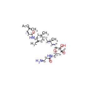 CC(=O)O[C@@H](C)/C=C\C(=O)N[C@@H]1C[C@H](C)[C@H](C/C=C(C)/C=C/[C@H]2O[C@H](CNC(=O)CCN)C[C@@]3(CO3)[C@@H]2O)C[C@@H]1C